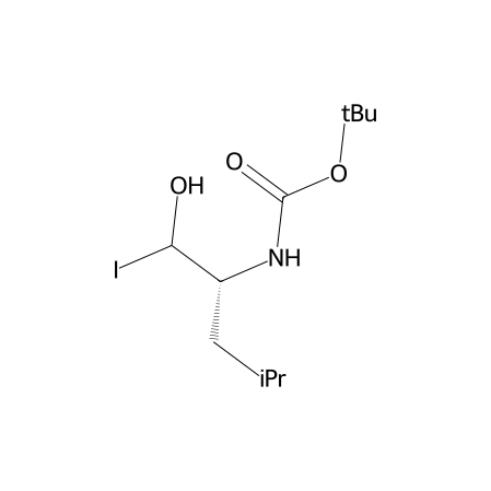 CC(C)C[C@@H](NC(=O)OC(C)(C)C)C(O)I